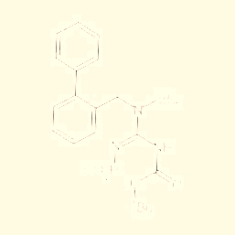 CC(C)(C)OC(=O)NC(=NC(=O)O)N(Cc1ccccc1-c1ccccc1)C(C)(C)C